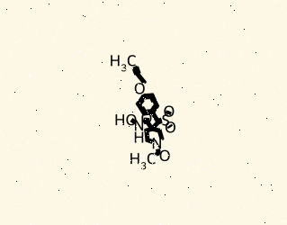 CC#CCOc1ccc(C(=S(=O)=O)C2(C(=O)NO)CCN(C(C)=O)CC2)cc1